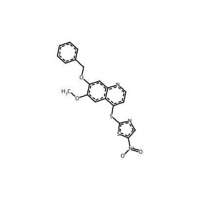 COc1cc2c(Sc3ncc([N+](=O)[O-])s3)ccnc2cc1OCc1ccccc1